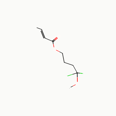 CC=CC(=O)OCCCC(Cl)(Cl)O[SiH3]